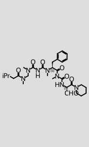 CC(C)CC(=O)N(C)CN(C)C(=O)NC(=O)N(C)[C@@H](Cc1ccccc1)C(=O)N(C)C(=O)N[C@@H](C=O)C(=O)N1CCCCC1